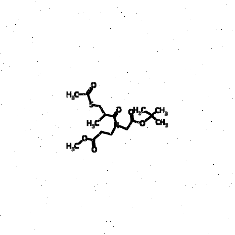 COC(=O)CCN(CC(=O)OC(C)(C)C)C(=O)C(C)CSC(C)=O